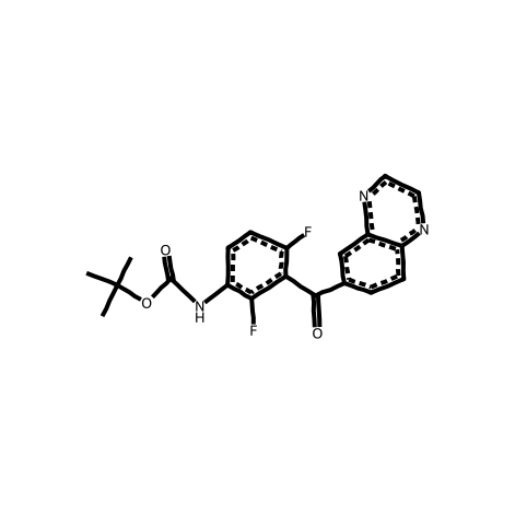 CC(C)(C)OC(=O)Nc1ccc(F)c(C(=O)c2ccc3nccnc3c2)c1F